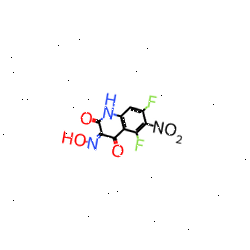 O=C1Nc2cc(F)c([N+](=O)[O-])c(F)c2C(=O)/C1=N/O